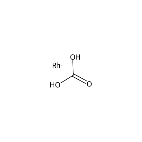 O=C(O)O.[Rh]